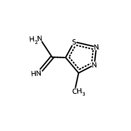 Cc1nnsc1C(=N)N